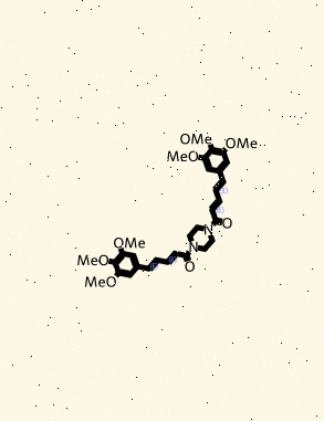 COc1cc(/C=C/C=C/C(=O)N2CCN(C(=O)/C=C/C=C/c3cc(OC)c(OC)c(OC)c3)CC2)cc(OC)c1OC